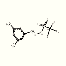 Cc1cc(C)cc(C)c1.O=S(=O)(OI)C(F)(F)F